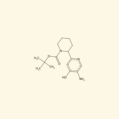 CC(C)(C)OC(=O)N1CCCCC1c1cc(O)c(N)cn1